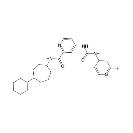 O=C(Nc1ccnc(F)c1)Nc1ccnc(C(=O)NC2CCCC(C3CCCCC3)CC2)c1